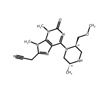 COC[C@H]1CN[C@H](C)CN1c1nc(=O)n(C)c2c1nc(CC#N)n2C